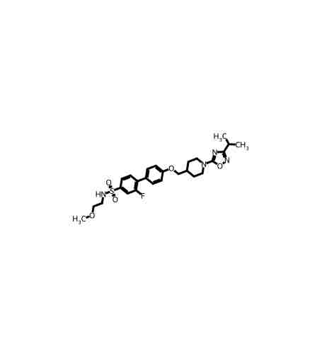 COCCNS(=O)(=O)c1ccc(-c2ccc(OCC3CCN(c4nc(C(C)C)no4)CC3)cc2)c(F)c1